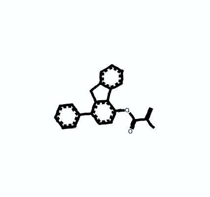 C=C(C)C(=O)Oc1ccc(-c2ccccc2)c2c1-c1ccccc1C2